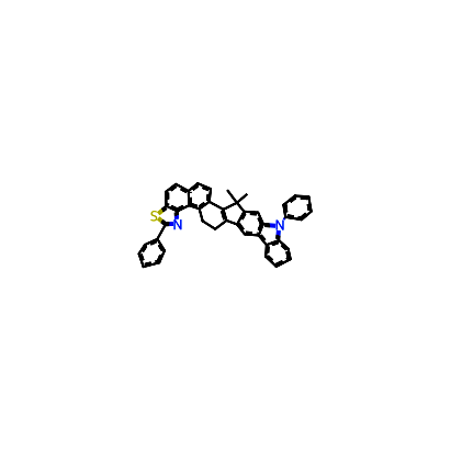 CC1(C)C2=C(CCc3c2ccc2ccc4sc(-c5ccccc5)nc4c32)c2cc3c4ccccc4n(-c4ccccc4)c3cc21